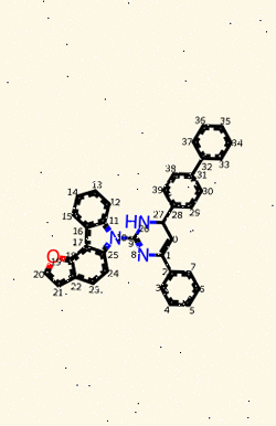 C1=C(c2ccccc2)N=C(n2c3ccccc3c3c4occc4ccc32)NC1c1ccc(-c2ccccc2)cc1